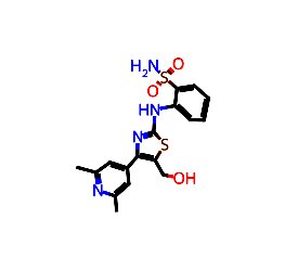 Cc1cc(-c2nc(Nc3ccccc3S(N)(=O)=O)sc2CO)cc(C)n1